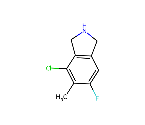 Cc1c(F)cc2c(c1Cl)CNC2